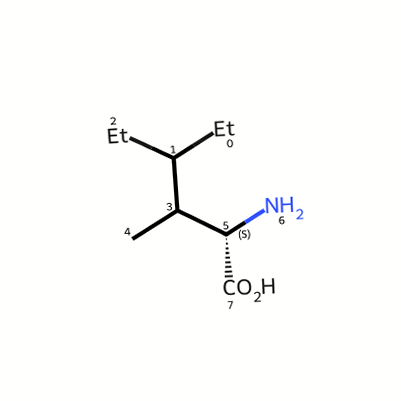 CCC(CC)C(C)[C@H](N)C(=O)O